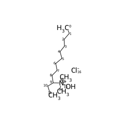 CCCCCCCCCC(CC)[N+](C)(C)O.[Cl-]